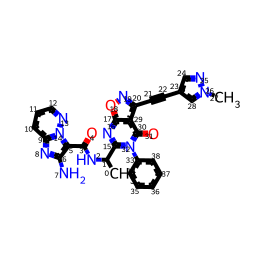 CC(NC(=O)c1c(N)nc2cccnn12)c1nc2onc(C#Cc3cnn(C)c3)c2c(=O)n1-c1ccccc1